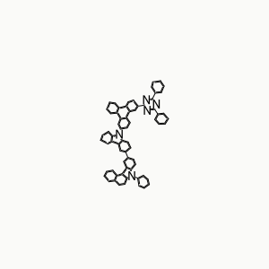 c1ccc(-c2nc(-c3ccccc3)nc(-c3ccc4c5ccccc5c5cc(-n6c7ccccc7c7cc(-c8ccc9c(c8)c8c%10ccccc%10ccc8n9-c8ccccc8)ccc76)ccc5c4c3)n2)cc1